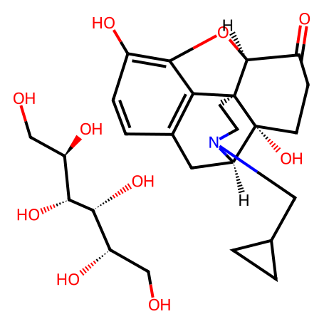 O=C1CC[C@@]2(O)[C@H]3Cc4ccc(O)c5c4[C@@]2(CCN3CC2CC2)[C@H]1O5.OC[C@@H](O)[C@@H](O)[C@H](O)[C@@H](O)CO